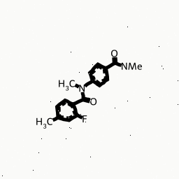 CNC(=O)c1ccc(N(C)C(=O)c2ccc(C)cc2F)cc1